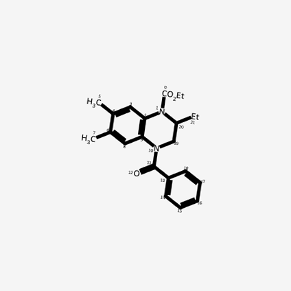 CCOC(=O)N1c2cc(C)c(C)cc2N(C(=O)c2ccccc2)CC1CC